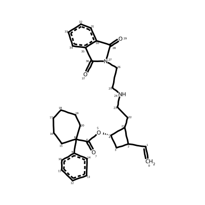 C=CC1C[C@H](OC(=O)C2(c3ccccc3)CCCCCC2)C1CCNCCN1C(=O)c2ccccc2C1=O